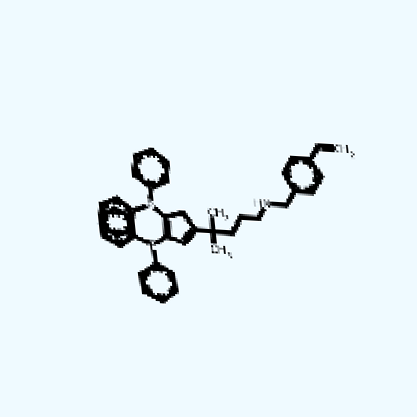 C=Cc1ccc(CNCCCC(C)(C)C2=CC(P(c3ccccc3)c3ccccc3)=C(P(c3ccccc3)c3ccccc3)C2)cc1